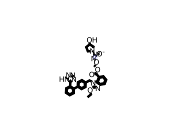 CCOc1nc2cccc(C(=O)OCO/N=[N+](\[O-])N3CCC(O)C3)c2n1Cc1ccc(-c2ccccc2-c2nnn[nH]2)cc1